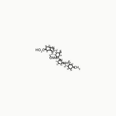 COCCn1c(Cc2ccc(-c3cccc(NCc4ccc(C)cc4F)n3)cc2F)nc2ccc(C(=O)O)cc21